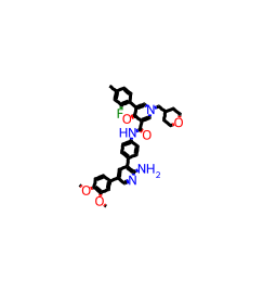 COc1ccc(-c2cnc(N)c(-c3ccc(NC(=O)c4cn(CC5CCOCC5)cc(-c5ccc(C)cc5F)c4=O)cc3)c2)cc1OC